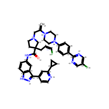 C=C(CN1CCC(C/C=C\F)(C(=O)Nc2ccc3[nH]nc(-c4ccnc(C5CC5)c4)c3c2)C1)N1CCN(c2ccc(-c3ncc(F)cn3)cc2)CC1